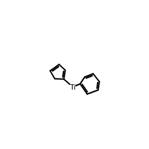 C1=CC[C]([Ti][c]2ccccc2)=C1